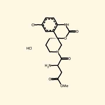 COC(=O)CC(N)C(=O)N1CCC[C@@]2(C1)OC(=O)Nc1ccc(Cl)cc12.Cl